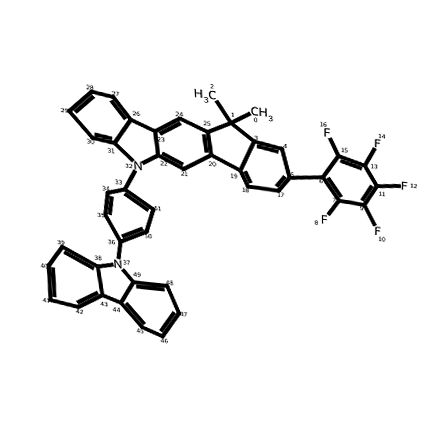 CC1(C)c2cc(-c3c(F)c(F)c(F)c(F)c3F)ccc2-c2cc3c(cc21)c1ccccc1n3-c1ccc(-n2c3ccccc3c3ccccc32)cc1